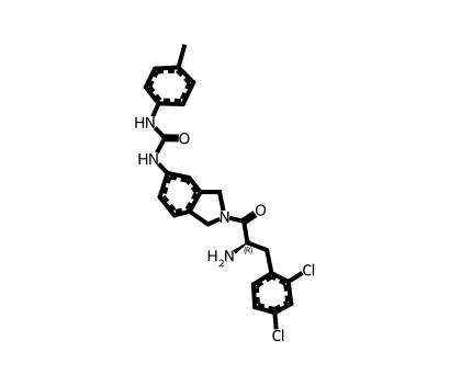 Cc1ccc(NC(=O)Nc2ccc3c(c2)CN(C(=O)[C@H](N)Cc2ccc(Cl)cc2Cl)C3)cc1